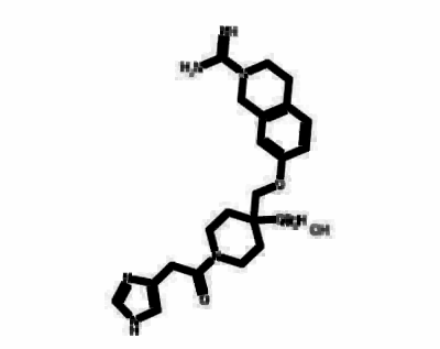 Cl.Cl.N=C(N)N1CCc2ccc(OCC3(C(=O)O)CCN(C(=O)Cc4c[nH]cn4)CC3)cc2C1